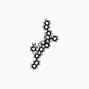 CC1(C)c2cc(N(c3ccccc3)c3ccc(-c4ccc5ccccc5c4)cc3F)ccc2-c2ccc3cc(N(c4ccccc4)c4ccc(-c5ccc6ccccc6c5)cc4F)ccc3c21